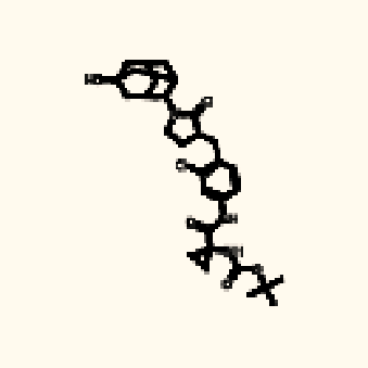 CC(C)(C)OC(=O)NC1(C(=O)Nc2ccc(CC3CCN(C4C5CC6CC4CC(O)(C6)C5)C3=O)c(Cl)c2)CC1